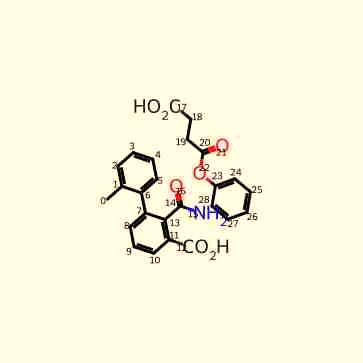 Cc1ccccc1-c1cccc(C(=O)O)c1C(N)=O.O=C(O)CCC(=O)Oc1ccccc1